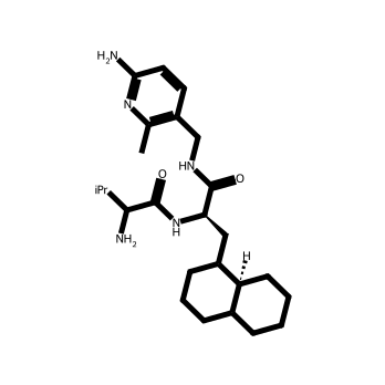 Cc1nc(N)ccc1CNC(=O)[C@@H](CC1CCCC2CCCC[C@@H]21)NC(=O)C(N)C(C)C